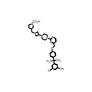 CC(C)(c1ccc(OCc2ccnc(N3CCN(C4CN(CC5CCN(C(=O)O)C5)C4)CC3)n2)cc1)c1cc(Cl)cc(C#N)c1